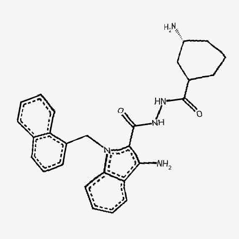 Nc1c(C(=O)NNC(=O)C2CCC[C@@H](N)C2)n(Cc2cccc3ccccc23)c2ccccc12